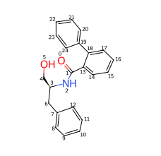 O=C(N[C@H](CO)Cc1ccccc1)c1ccccc1-c1ccccc1